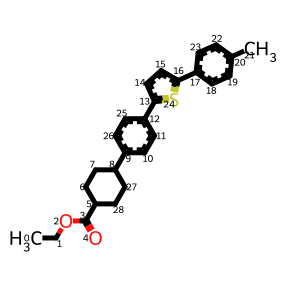 CCOC(=O)C1CCC(c2ccc(-c3ccc(-c4ccc(C)cc4)s3)cc2)CC1